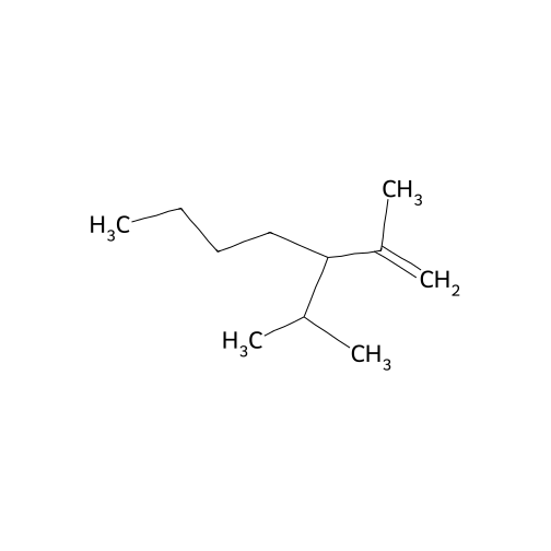 C=C(C)C(CCCC)C(C)C